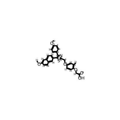 COc1ccc(-c2nc(COc3ccc(OCC(=O)O)c(C)c3)sc2-c2ccc3cc(OC)ccc3c2)cc1